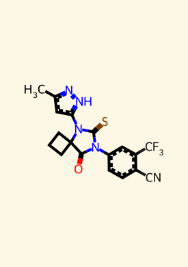 Cc1cc(N2C(=S)N(c3ccc(C#N)c(C(F)(F)F)c3)C(=O)C23CCC3)[nH]n1